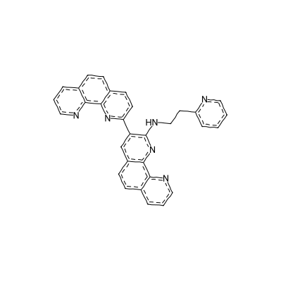 c1ccc(CCNc2nc3c(ccc4cccnc43)cc2-c2ccc3ccc4cccnc4c3n2)nc1